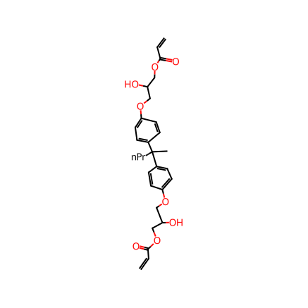 C=CC(=O)OCC(O)COc1ccc(C(C)(CCC)c2ccc(OCC(O)COC(=O)C=C)cc2)cc1